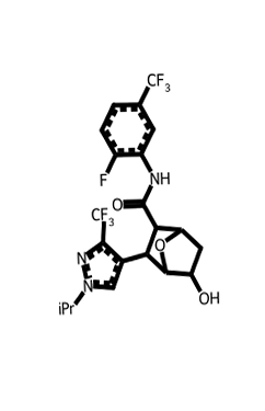 CC(C)n1cc(C2C3OC(CC3O)C2C(=O)Nc2cc(C(F)(F)F)ccc2F)c(C(F)(F)F)n1